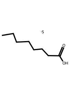 CCCCCCCC(=O)O.[S]